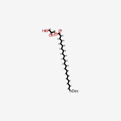 CCCCCCCCCCCCCCCCCCCCCCCCCCCCCCCCC(=O)OCC(O)CO